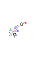 COc1cnc(Cl)cc1-c1cc(C)ncc1C(=O)Nc1nnc(OCC23CCC(O)(CC2)C3)s1